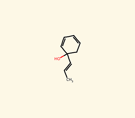 CC=CC1(O)C=CC=CC1